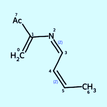 C=C(/N=C\C=C/C)C(C)=O